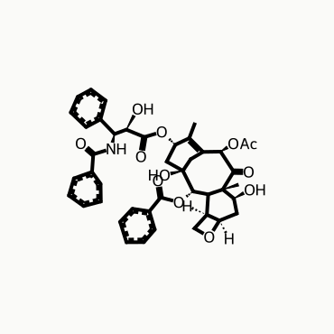 CC(=O)O[C@H]1C(=O)[C@@]2(C)C([C@@H]3CO[C@@H]3C[C@@H]2O)[C@H](OC(=O)c2ccccc2)[C@@]2(O)CC1=C(C)[C@@H](OC(=O)[C@H](O)[C@@H](NC(=O)c1ccccc1)c1ccccc1)C2